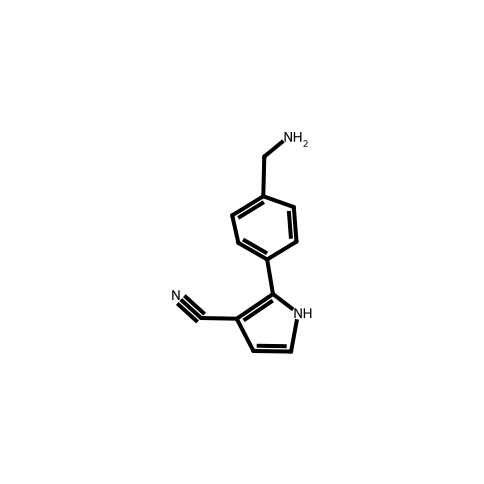 N#Cc1cc[nH]c1-c1ccc(CN)cc1